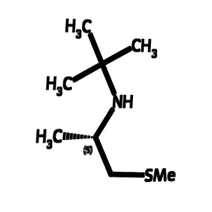 CSC[C@H](C)NC(C)(C)C